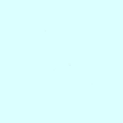 CC(CCC(COCC(O)COP(=O)(O)O)C(C)CC(C)(C)C)CC(C)(C)C